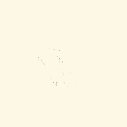 N#Cc1cnc2ccc(Cl)cc2c1N1CCC2(C(=O)O)CC2C1